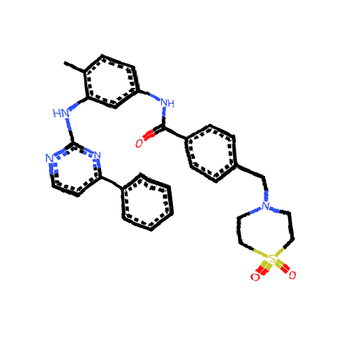 Cc1ccc(NC(=O)c2ccc(CN3CCS(=O)(=O)CC3)cc2)cc1Nc1nccc(-c2ccccc2)n1